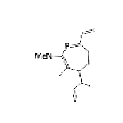 C=CC1=PC(NC)=C(C)C(C(C)C=C)CC1